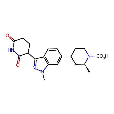 C[C@H]1C[C@H](c2ccc3c(C4CCC(=O)NC4=O)nn(C)c3c2)CCN1C(=O)O